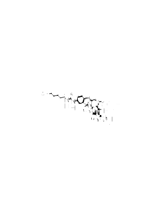 CC(=O)CCCCCNC(=S)Nc1ccc(C[C@H](CN(CCN(CC(=O)O)CC(=O)O)CC(=O)O)N(CC(=O)O)CC(=O)O)cc1